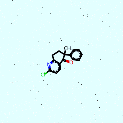 CC1(c2ccccc2)CCc2nc(Cl)ccc2C1=O